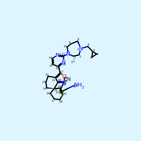 C[C@H]1CN(CC2CC2)CCCN1c1nccc(-c2onc3c2CCC[C@@]32CCCc3sc(N)c(C#N)c32)n1